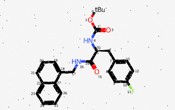 CC(C)(C)OC(=O)N[C@@H](Cc1ccc(F)cc1)C(=O)NCc1cccc2ccccc12